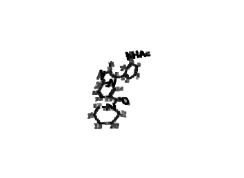 CC(=O)Nc1cccc(-c2c(C)nc3ccc(C(=O)N4CCCCC4)cn23)c1